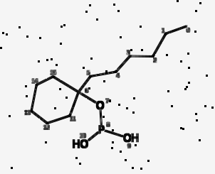 CCCCCCC1(OP(O)O)CCCCC1